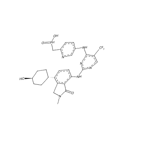 CN1Cc2c(c(Nc3ncc(C(F)(F)F)c(Nc4ccc(C[PH](=O)O)nc4)n3)ccc2[C@H]2CC[C@H](O)CC2)C1=O